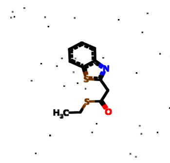 CCSC(=O)Cc1nc2ccccc2s1